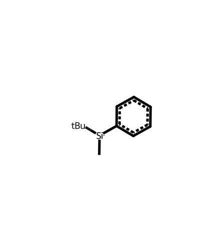 C[Si](c1ccccc1)C(C)(C)C